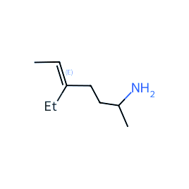 C/C=C(\CC)CCC(C)N